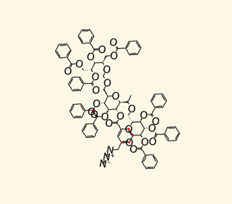 CC(OC[C@H]1O[C@@H](OCCN=[N+]=[N-])[C@H](OC(=O)c2ccccc2)[C@@H](OC(=O)c2ccccc2)[C@@H]1OC(=O)c1ccccc1)[C@@H]1O[C@H](COCO[C@H](COC(=O)c2ccccc2)[C@@H](OC(=O)c2ccccc2)[C@@H](COC(=O)c2ccccc2)OC(=O)c2ccccc2)[C@@H](OC(=O)c2ccccc2)[C@H](OC(=O)c2ccccc2)[C@H]1OC(=O)c1ccccc1